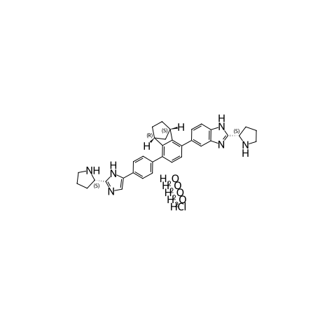 Cl.O.O.O.O.c1cc(-c2ccc(-c3ccc4[nH]c([C@@H]5CCCN5)nc4c3)c3c2[C@@H]2CC[C@H]3C2)ccc1-c1cnc([C@@H]2CCCN2)[nH]1